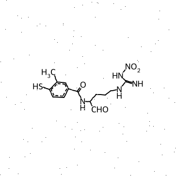 Cc1cc(C(=O)NC(C=O)CCCNC(=N)N[N+](=O)[O-])ccc1S